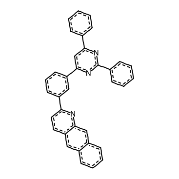 c1ccc(-c2cc(-c3cccc(-c4ccc5cc6ccccc6cc5n4)c3)nc(-c3ccccc3)n2)cc1